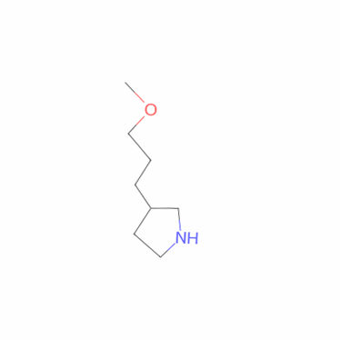 COCCCC1CCNC1